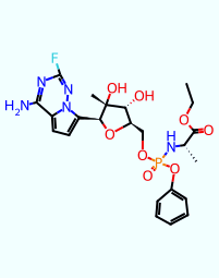 CCOC(=O)[C@H](C)NP(=O)(OC[C@H]1O[C@@H](c2ccc3c(N)nc(F)nn23)[C@](C)(O)[C@@H]1O)Oc1ccccc1